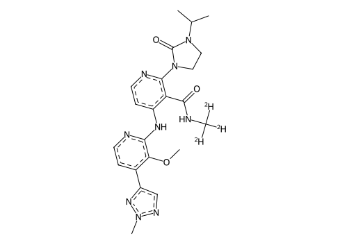 [2H]C([2H])([2H])NC(=O)c1c(Nc2nccc(-c3cnn(C)n3)c2OC)ccnc1N1CCN(C(C)C)C1=O